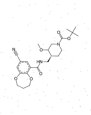 COC1CN(C(=O)OC(C)(C)C)CC[C@H]1CNC(=O)c1cc(C#N)cc2c1OCCCO2